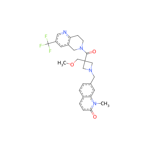 COCC1(C(=O)N2CCc3ncc(C(F)(F)F)cc3C2)CN(Cc2ccc3ccc(=O)n(C)c3c2)C1